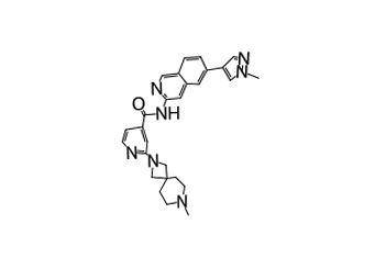 CN1CCC2(CC1)CN(c1cc(C(=O)Nc3cc4cc(-c5cnn(C)c5)ccc4cn3)ccn1)C2